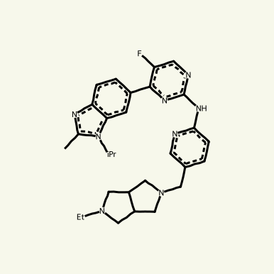 CCN1CC2CN(Cc3ccc(Nc4ncc(F)c(-c5ccc6nc(C)n(C(C)C)c6c5)n4)nc3)CC2C1